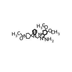 CCC(=O)N1CCC(CNCc2nc(N)c3cc(OC)c(OC)cc3n2)(c2ccccc2)CC1